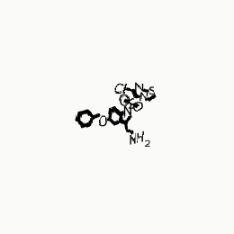 NCCc1cn(S(=O)(=O)c2c(Cl)nc3sccn23)c2ccc(OCc3ccccc3)cc12